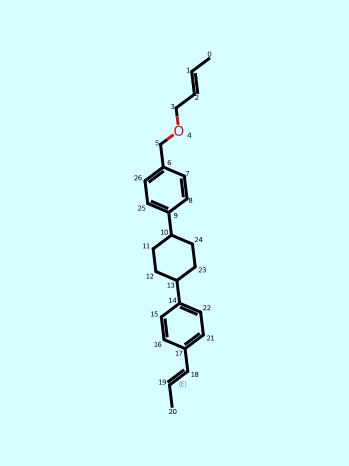 CC=CCOCc1ccc(C2CCC(c3ccc(/C=C/C)cc3)CC2)cc1